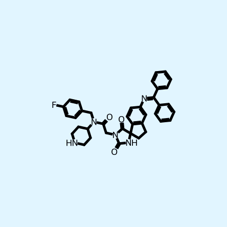 O=C1NC2(CCc3cc(N=C(c4ccccc4)c4ccccc4)ccc32)C(=O)N1CC(=O)N(Cc1ccc(F)cc1)C1CCNCC1